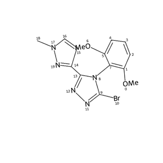 COc1cccc(OC)c1-n1c(Br)nnc1-c1ccn(C)n1